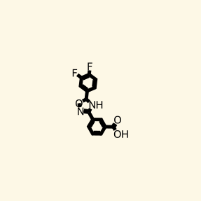 O=C(O)c1cccc(C2=NOC(c3ccc(F)c(F)c3)N2)c1